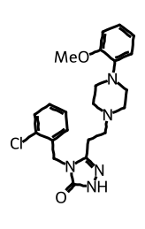 COc1ccccc1N1CCN(CCc2n[nH]c(=O)n2Cc2ccccc2Cl)CC1